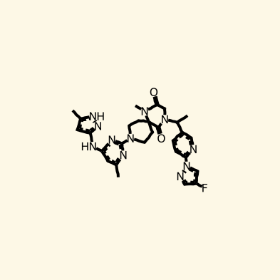 Cc1cc(Nc2cc(C)[nH]n2)nc(N2CCC3(CC2)C(=O)N(C(C)c2ccc(-n4cc(F)cn4)nc2)CC(=O)N3C)n1